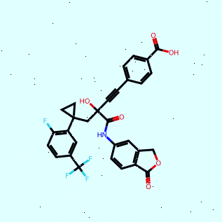 O=C(O)c1ccc(C#CC(O)(CC2(c3cc(C(F)(F)F)ccc3F)CC2)C(=O)Nc2ccc3c(c2)COC3=O)cc1